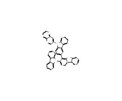 c1cnc2cc(-n3c4ccccc4c4cc(-c5c(-n6c7ccccc7c7ccccc76)ccc6c5oc5ccccc56)ccc43)cnc2c1